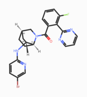 O=C(c1cccc(F)c1-c1ncccn1)N1C[C@@H]2CC[C@H]1[C@H](Nc1ccc(Br)cn1)C2